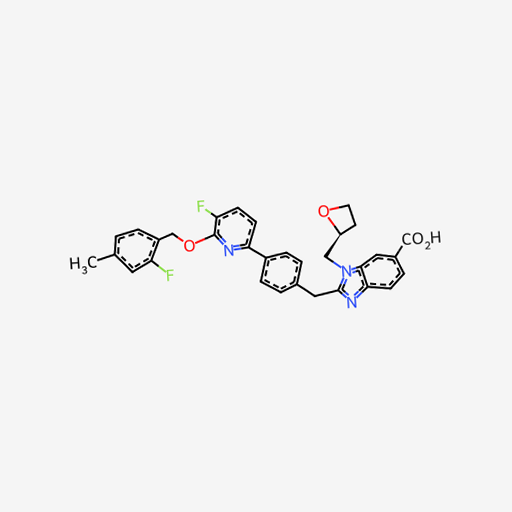 Cc1ccc(COc2nc(-c3ccc(Cc4nc5ccc(C(=O)O)cc5n4C[C@@H]4CCO4)cc3)ccc2F)c(F)c1